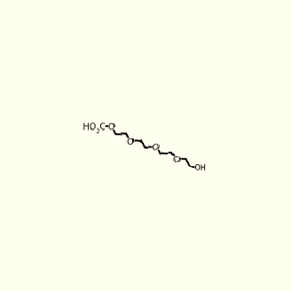 O=C(O)OCCOCCOCCOCCO